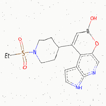 CCS(=O)(=O)N1CCC(C2=CB(O)Oc3cnc4[nH]ccc4c32)CC1